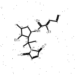 C=C/C=C(\CC)C(=O)N[C@@H]1CC(C)C(CC)C1C(C)(C)N1C(=O)C=CC1=O